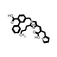 CCCCC1NC(C=C(Cc2cccs2)C(=O)O)=CN1Cc1ccc(C(=O)O)c(-c2ccccc2)c1